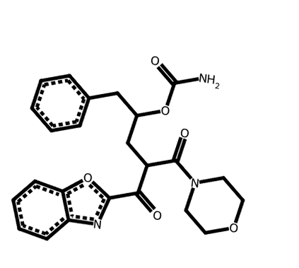 NC(=O)OC(Cc1ccccc1)CC(C(=O)c1nc2ccccc2o1)C(=O)N1CCOCC1